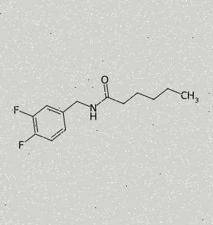 CCCCCC(=O)NCc1ccc(F)c(F)c1